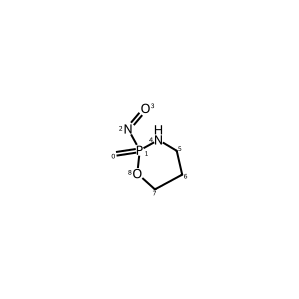 C=P1(N=O)NCCCO1